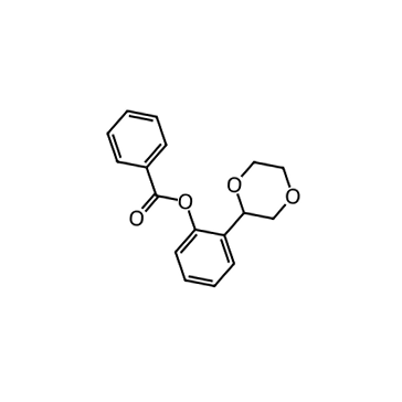 O=C(Oc1ccccc1C1COCCO1)c1ccccc1